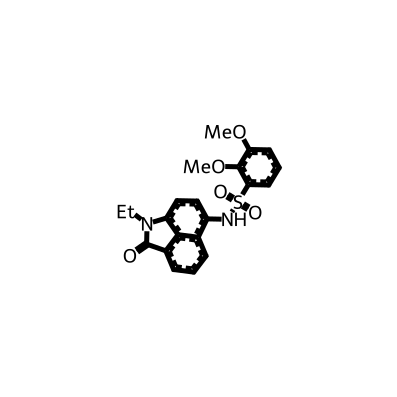 CCN1C(=O)c2cccc3c(NS(=O)(=O)c4cccc(OC)c4OC)ccc1c23